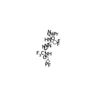 CC(C)n1nccc1C(=O)N[C@H](c1cn2ncc(C(NC(=O)CC3CC(F)(F)C3)C(F)(F)F)cc2n1)C1CCC(F)(F)CC1